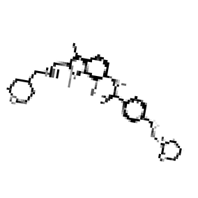 Cc1c(CNCC2CCOCC2)[nH]c2c(F)c(NC(=O)c3ccc(OC[C@@H]4CCCO4)cc3)ccc12